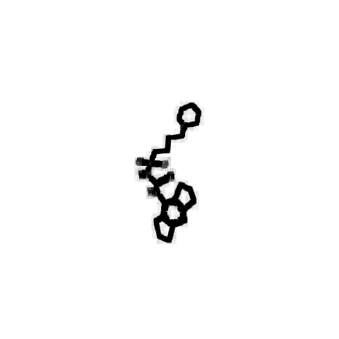 O=C(Nc1c2c(cc3c1CCC3)CCC2)NS(=O)(=O)CCCCN1CCCCC1